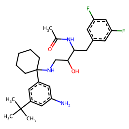 CC(=O)NC(Cc1cc(F)cc(F)c1)C(O)CNC1(c2cc(N)cc(C(C)(C)C)c2)CCCCC1